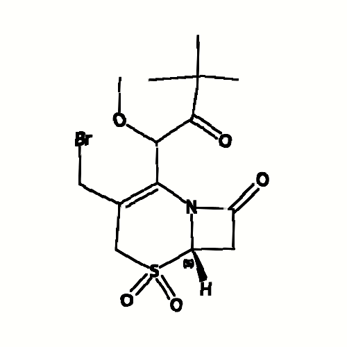 COC(C(=O)C(C)(C)C)C1=C(CBr)CS(=O)(=O)[C@H]2CC(=O)N12